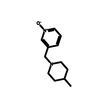 CC1CCN(Cc2ccc[n+]([O-])c2)CC1